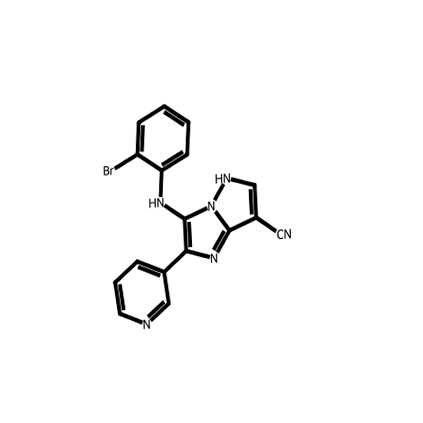 N#Cc1c[nH]n2c(Nc3ccccc3Br)c(-c3cccnc3)nc12